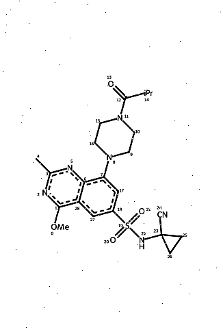 COc1nc(C)nc2c(N3CCN(C(=O)C(C)C)CC3)cc(S(=O)(=O)NC3(C#N)CC3)cc12